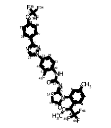 COC(c1ccc(C)cc1N1C(=O)CSC1=NC(=O)Nc1ccc(-n2cnc(-c3ccc(OC(F)(F)F)cc3)n2)cc1F)C(F)(F)F